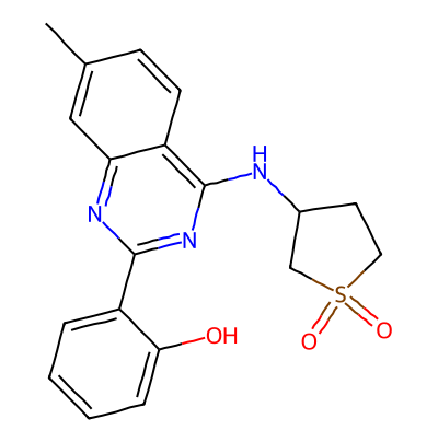 Cc1ccc2c(NC3CCS(=O)(=O)C3)nc(-c3ccccc3O)nc2c1